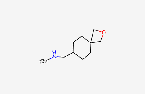 CC(C)(C)NCC1CCC2(CC1)COC2